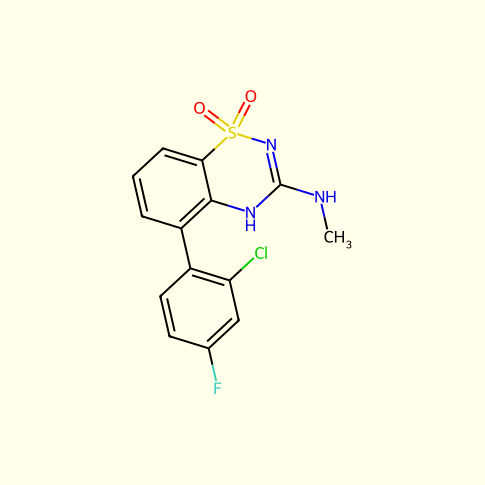 CNC1=NS(=O)(=O)c2cccc(-c3ccc(F)cc3Cl)c2N1